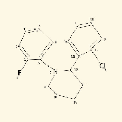 Fc1ccccc1N1CCCCC1c1ccccc1Cl